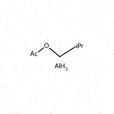 CC(=O)OCC(C)C.[AlH3]